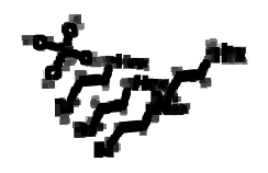 CCCCCCC=[CH][Ba+].CCCCCCC=[CH][Ba+].CCCCCCC=[CH][Ba+].CCCCCCC=[CH][Ba+].[O-][Si]([O-])([O-])[O-]